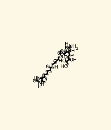 C[C@H]1[C@H]([C@H](O)[C@H](O)CO)OC(P(=O)(O)OCCOCCNC(=O)CCCCC2SC[C@@H]3NC(=O)N[C@H]23)=C[C@@H]1NC(=N)N